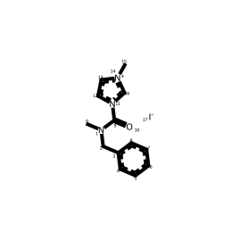 CN(Cc1ccccc1)C(=O)n1cc[n+](C)c1.[I-]